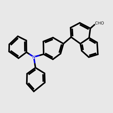 O=Cc1ccc(-c2ccc(N(c3ccccc3)c3ccccc3)cc2)c2ccccc12